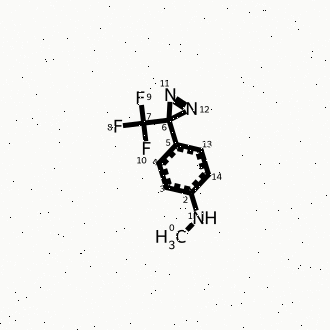 CNc1ccc(C2(C(F)(F)F)N=N2)cc1